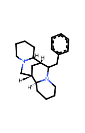 c1ccc(CC2[C@@H]3C[C@@H](CN4CCCC[C@H]34)[C@@H]3CCCCN23)cc1